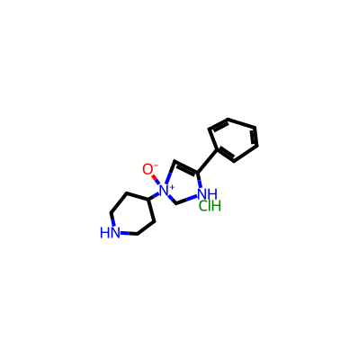 Cl.[O-][N+]1(C2CCNCC2)C=C(c2ccccc2)NC1